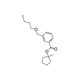 CC1(OC(=O)c2cccc(COCCCI)c2)CCCC1